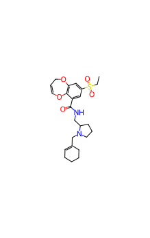 CCS(=O)(=O)c1cc2c(c(C(=O)NCC3CCCN3CC3=CCCCC3)c1)OC=CCO2